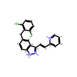 Fc1cccc(F)c1Cc1ccc2[nH]nc(C=Cc3ccccn3)c2c1